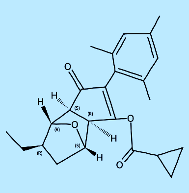 CC[C@@H]1C[C@@H]2O[C@H]1[C@H]1C(=O)C(c3c(C)cc(C)cc3C)=C(OC(=O)C3CC3)[C@H]12